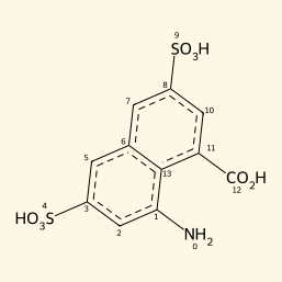 Nc1cc(S(=O)(=O)O)cc2cc(S(=O)(=O)O)cc(C(=O)O)c12